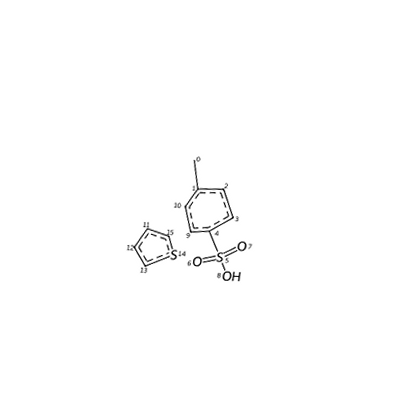 Cc1ccc(S(=O)(=O)O)cc1.c1ccsc1